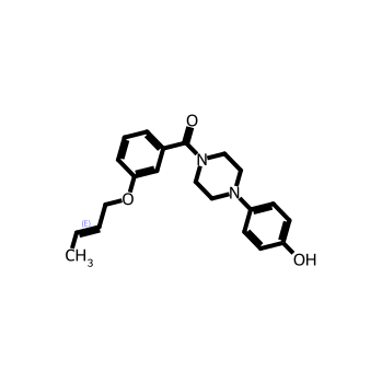 C/C=C/COc1cccc(C(=O)N2CCN(c3ccc(O)cc3)CC2)c1